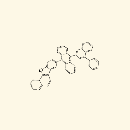 c1ccc(-c2cc(-c3c4ccccc4c(-c4ccc5oc6c7ccccc7ccc6c5c4)c4ccccc34)cc3ccccc23)cc1